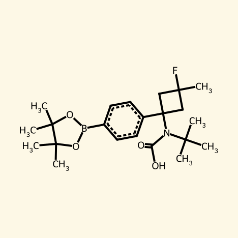 CC1(F)CC(c2ccc(B3OC(C)(C)C(C)(C)O3)cc2)(N(C(=O)O)C(C)(C)C)C1